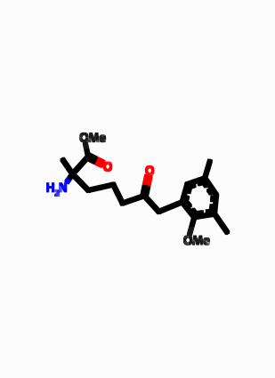 COC(=O)C(C)(N)CCCC(=O)Cc1cc(C)cc(C)c1OC